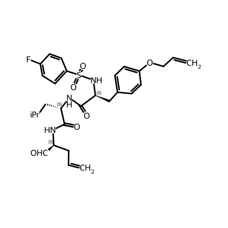 C=CCOc1ccc(C[C@H](NS(=O)(=O)c2ccc(F)cc2)C(=O)N[C@@H](CC(C)C)C(=O)N[C@H](C=O)CC=C)cc1